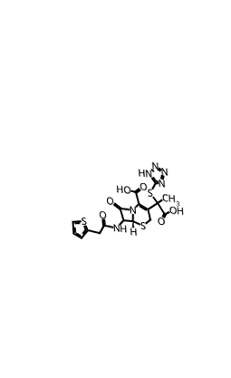 CC(Sc1nnn[nH]1)(C(=O)O)C1=C(C(=O)O)N2C(=O)C(NC(=O)Cc3cccs3)[C@H]2SC1